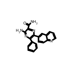 NC(=O)c1nc(-c2ccc3ncccc3c2)c(-c2ccccc2)nc1N